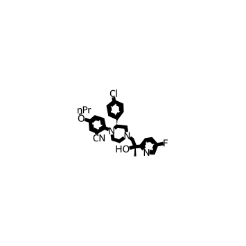 CCCOc1ccc(N2CCN(C[C@@](C)(O)c3ccc(F)cn3)C[C@H]2c2ccc(Cl)cc2)c(C#N)c1